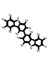 [2H]c1c([2H])c([2H])c2c([nH]c3c([2H])c([2H])c(-c4c([2H])c([2H])c5[nH]c6c([2H])c([2H])c([2H])c([2H])c6c5c4[2H])c([2H])c32)c1[2H]